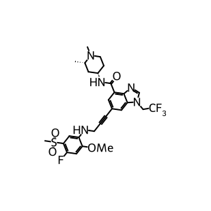 COc1cc(F)c(S(C)(=O)=O)cc1NCC#Cc1cc(C(=O)N[C@H]2CCN(C)[C@@H](C)C2)c2ncn(CC(F)(F)F)c2c1